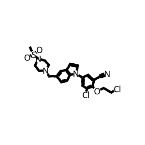 CS(=O)(=O)N1CCN(Cc2ccc3c(ccn3-c3cc(Cl)c(OCCCl)c(C#N)c3)c2)CC1